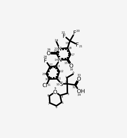 CCC(CC1CCCCO1)(Sc1cc(-n2c(=O)cc(C(F)(F)F)n(C)c2=O)c(F)cc1Cl)C(=O)O